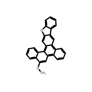 COc1cc2c3ccccc3c3cc4c(cc3c2c2ccccc12)oc1ccccc14